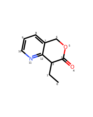 CCC1C(=O)OCc2cccnc21